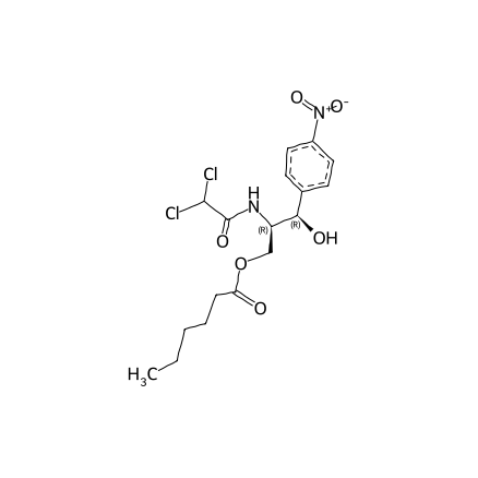 CCCCCC(=O)OC[C@@H](NC(=O)C(Cl)Cl)[C@H](O)c1ccc([N+](=O)[O-])cc1